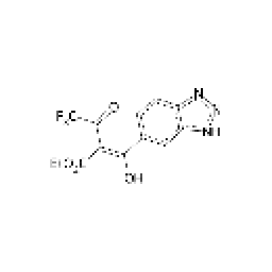 CCOC(=O)/C(C(=O)C(F)(F)F)=C(\O)c1ccc2nn[nH]c2c1